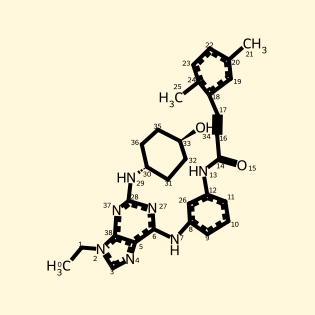 CCn1cnc2c(Nc3cccc(NC(=O)C#Cc4cc(C)ccc4C)c3)nc(N[C@H]3CC[C@H](O)CC3)nc21